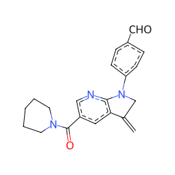 C=C1CN(c2ccc(C=O)cc2)c2ncc(C(=O)N3CCCCC3)cc21